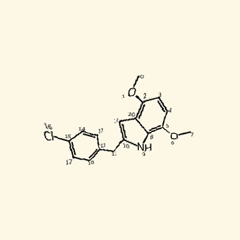 COc1ccc(OC)c2[nH]c(Cc3ccc(Cl)cc3)cc12